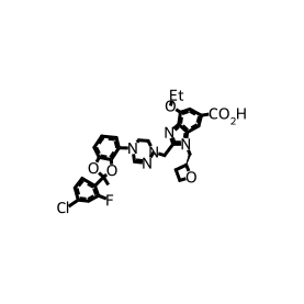 CCOc1cc(C(=O)O)cc2c1nc(CN1CCN(c3cccc4c3OC(C)(c3ccc(Cl)cc3F)O4)C=N1)n2C[C@@H]1CCO1